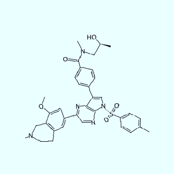 COc1cc(-c2cnc3c(n2)c(-c2ccc(C(=O)N(C)C[C@H](C)O)cc2)cn3S(=O)(=O)c2ccc(C)cc2)cc2c1CN(C)CC2